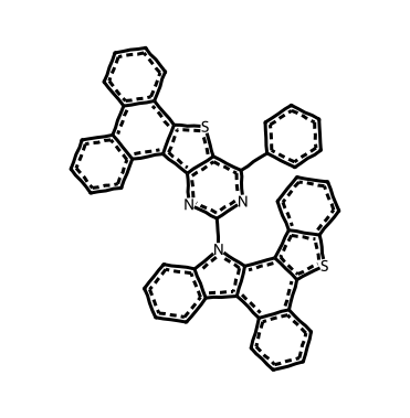 c1ccc(-c2nc(-n3c4ccccc4c4c5ccccc5c5sc6ccccc6c5c43)nc3c2sc2c4ccccc4c4ccccc4c32)cc1